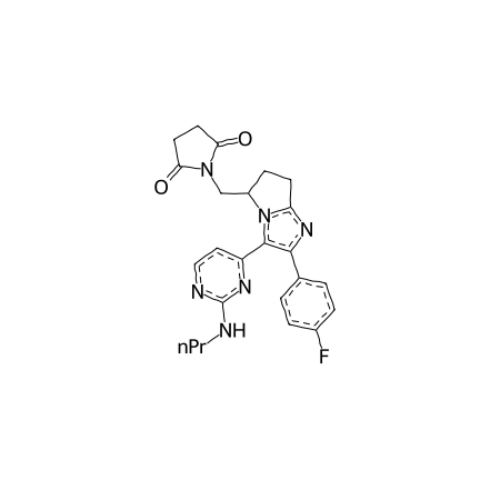 CCCNc1nccc(-c2c(-c3ccc(F)cc3)nc3n2C(CN2C(=O)CCC2=O)CC3)n1